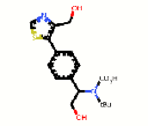 CC(C)(C)N(C(=O)O)C(CO)c1ccc(-c2scnc2CO)cc1